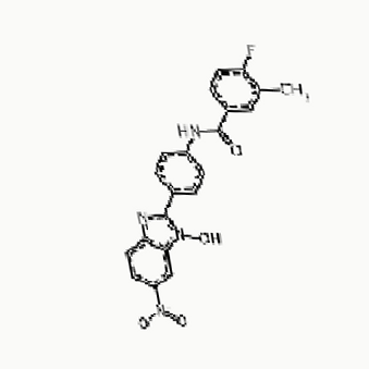 Cc1cc(C(=O)Nc2ccc(-c3nc4ccc([N+](=O)[O-])cc4n3O)cc2)ccc1F